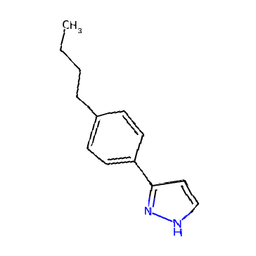 CCCCc1ccc(-c2cc[nH]n2)cc1